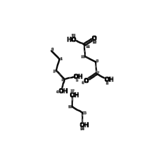 CCCC(O)O.O=C(O)CCC(=O)O.OCCO